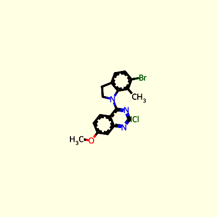 COc1ccc2c(N3CCc4ccc(Br)c(C)c43)ncnc2c1.Cl